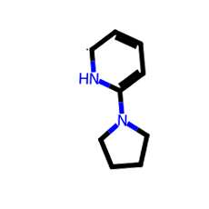 [CH]1C=CC=C(N2CCCC2)N1